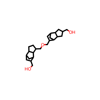 OCC1CC2C3CC(COCC4CCC5C6CC(CO)C(C6)C45)C(C3)C2C1